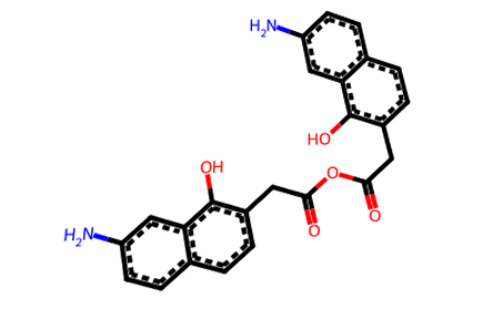 Nc1ccc2ccc(CC(=O)OC(=O)Cc3ccc4ccc(N)cc4c3O)c(O)c2c1